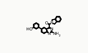 Nc1nc(C(=O)N2Cc3ccccc3C2)c2cc(-c3cccc(O)c3)ccc2n1